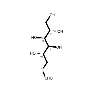 O=COC[C@H](O)[C@H](O)[C@@H](O)[C@@H](O)CO